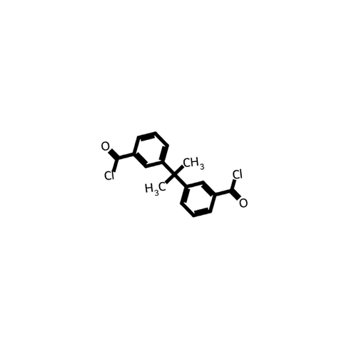 CC(C)(c1cccc(C(=O)Cl)c1)c1cccc(C(=O)Cl)c1